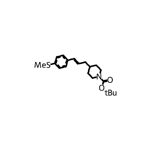 CSc1ccc(/C=C/CC2CCN(C(=O)OC(C)(C)C)CC2)cc1